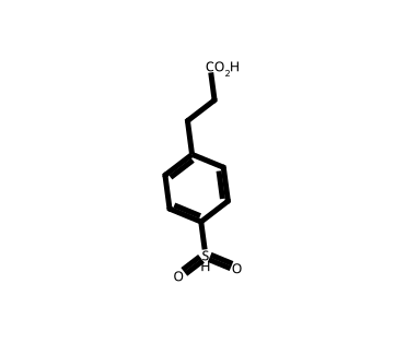 O=C(O)CCc1ccc([SH](=O)=O)cc1